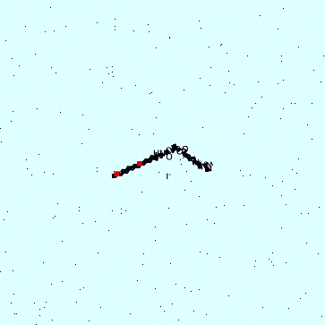 C=C(COC(=O)CCCCCCC[n+]1ccn(C)c1)COC(=O)NCCCCCCCCCCCCCCCCCC.[I-]